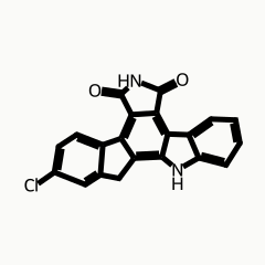 O=C1NC(=O)c2c1c1c(c3[nH]c4ccccc4c23)Cc2cc(Cl)ccc2-1